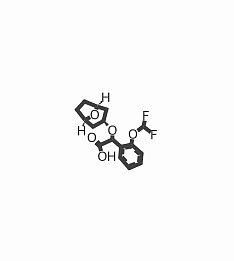 O=C(O)C(O[C@H]1C[C@H]2CC[C@@H](C1)O2)c1ccccc1OC(F)F